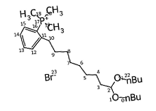 CCCCOC(CCCCCCCCc1ccccc1[P+](C)(C)C)OCCCC.[Br-]